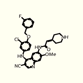 COc1cc2ncc(C#N)c(Nc3ccc(OCc4cccc(F)c4)c(Cl)c3)c2cc1NC(=O)C=C1CCNCC1